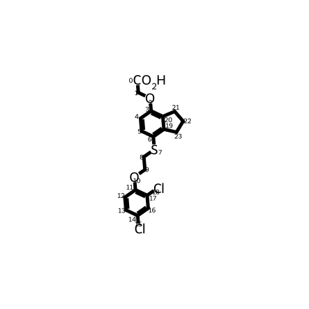 O=C(O)COc1ccc(SCCOc2ccc(Cl)cc2Cl)c2c1CCC2